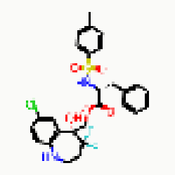 Cc1ccc(S(=O)(=O)N[C@H](Cc2ccccc2)C(=O)OC[C@]2(O)c3cc(Cl)ccc3NCCC2(F)F)cc1